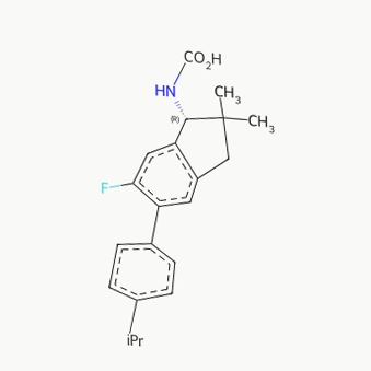 CC(C)c1ccc(-c2cc3c(cc2F)[C@H](NC(=O)O)C(C)(C)C3)cc1